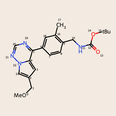 COCc1cc2c(-c3ccc(CNC(=O)OC(C)(C)C)c(C)c3)ncnn2c1